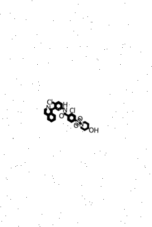 O=C(Nc1ccc(Cl)c(-c2nccc3ccccc23)c1)c1ccc(S(=O)(=O)N2CCC(O)CC2)cc1Cl